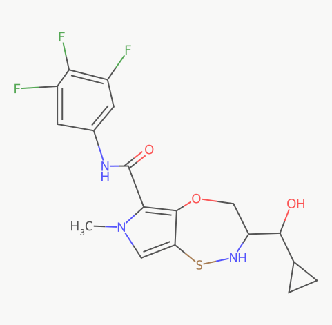 Cn1cc2c(c1C(=O)Nc1cc(F)c(F)c(F)c1)OCC(C(O)C1CC1)NS2